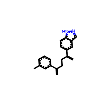 C=C(CCC(=C)c1ccc2[nH]ncc2c1)c1cccc(C)c1